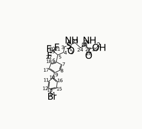 N=S(=O)(CCC(c1ccc(-c2ccc(Br)cc2)cc1)C(F)(F)F)CC[C@H](N)C(=O)O